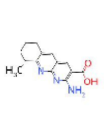 C[C@@H]1CCCc2cc3cc(C(=O)O)c(N)nc3nc21